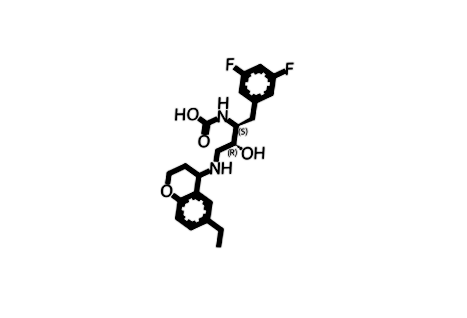 CCc1ccc2c(c1)C(NC[C@@H](O)[C@H](Cc1cc(F)cc(F)c1)NC(=O)O)CCO2